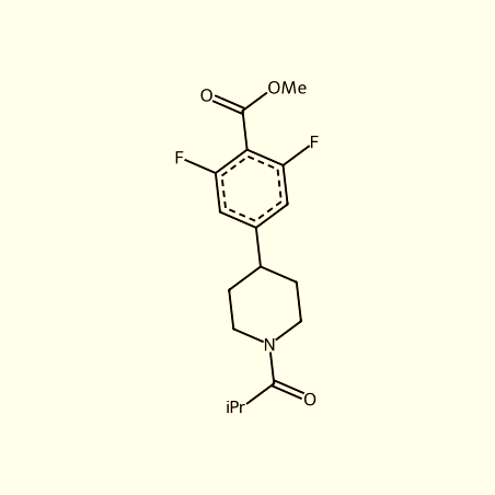 COC(=O)c1c(F)cc(C2CCN(C(=O)C(C)C)CC2)cc1F